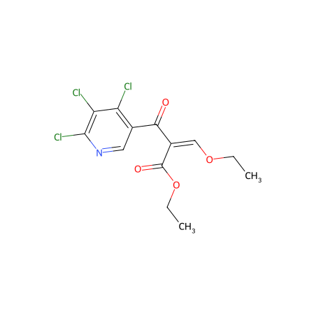 CCOC=C(C(=O)OCC)C(=O)c1cnc(Cl)c(Cl)c1Cl